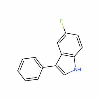 Fc1ccc2[nH]cc(-c3ccccc3)c2c1